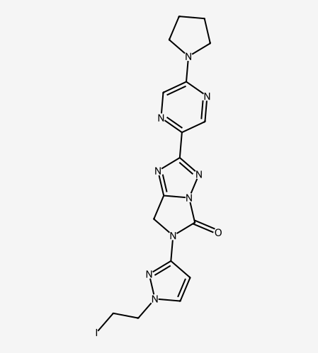 O=C1N(c2ccn(CCI)n2)Cc2nc(-c3cnc(N4CCCC4)cn3)nn21